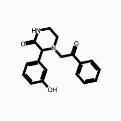 O=C(CN1CCNC(=O)C1c1cccc(O)c1)c1ccccc1